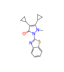 Cn1c(C2CC2)c(C2CC2)c(=O)n1-c1nc2ccccc2s1